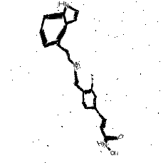 O=C(/C=C/c1ccc(CNCCc2cccc3[nH]ccc23)c(F)c1)NO